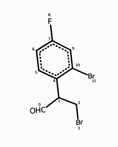 O=CC(CBr)c1ccc(F)cc1Br